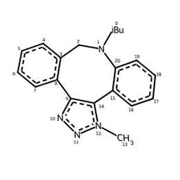 CCC(C)N1Cc2ccccc2-c2nnn(C)c2-c2ccccc21